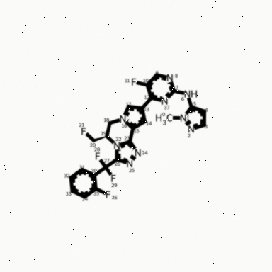 Cn1nccc1Nc1ncc(F)c(-c2cc3n(c2)C[C@H](CF)n2c-3nnc2C(F)(F)c2ccccc2F)n1